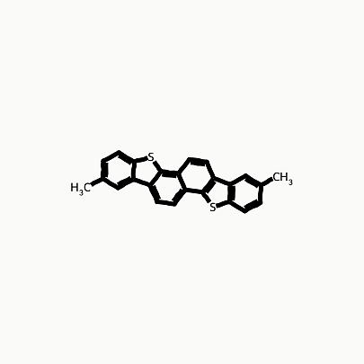 Cc1ccc2sc3c(ccc4c3ccc3c5cc(C)ccc5sc34)c2c1